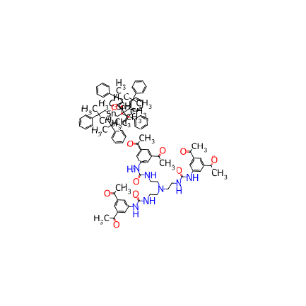 CC(=O)c1cc(NC(=O)NCCN(CCNC(=O)Nc2cc(C(C)=O)cc(C(C)=O)c2)CCNC(=O)Nc2cc(C(C)=O)cc(C(C)=O)c2)cc(C(C)=O)c1.CC(C)([CH2][Sn]([CH2]C(C)(C)c1ccccc1)([CH2]C(C)(C)c1ccccc1)[O][Sn]([CH2]C(C)(C)c1ccccc1)([CH2]C(C)(C)c1ccccc1)[CH2]C(C)(C)c1ccccc1)c1ccccc1